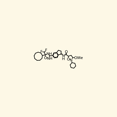 COC1CC(C(=O)N[C@@H]2CCc3cc(C4NOC(C(F)F)(C5CCCCCCCC5)N4)ccc32)ON1C1CCCCC1